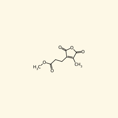 COC(=O)CCC1=C(C)C(=O)OC1=O